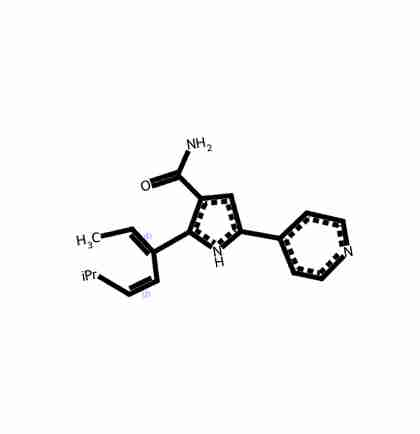 C/C=C(\C=C/C(C)C)c1[nH]c(-c2ccncc2)cc1C(N)=O